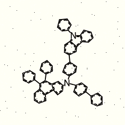 c1ccc(-c2ccc(N(c3ccc(-c4ccc5c(c4)c4ccccc4n5-c4ccccc4)cc3)c3ccc4c(c3)c(-c3ccccc3)c(-c3ccccc3)c3ccccc34)cc2)cc1